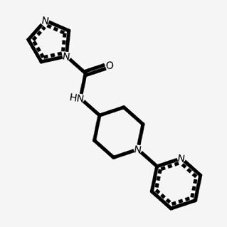 O=C(NC1CCN(c2ccccn2)CC1)n1ccnc1